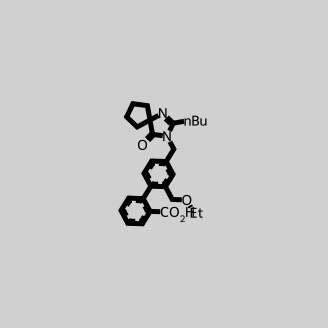 CCCCC1=NC2(CCCC2)C(=O)N1Cc1ccc(-c2ccccc2C(=O)O)c(COCC)c1